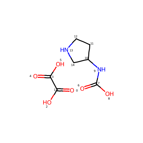 O=C(O)C(=O)O.O=C(O)NC1CCNC1